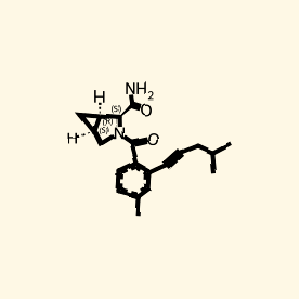 Cc1ccc(C(=O)N2C[C@H]3C[C@H]3[C@H]2C(N)=O)c(C#CCC(C)C)c1